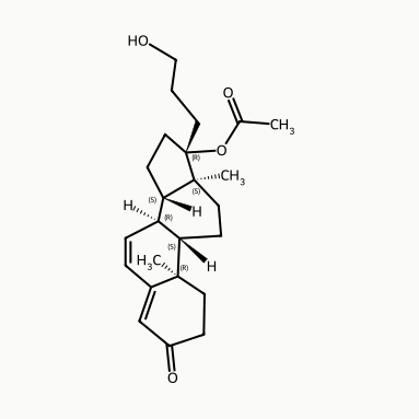 CC(=O)O[C@@]1(CCCO)CC[C@H]2[C@@H]3C=CC4=CC(=O)CC[C@]4(C)[C@H]3CC[C@@]21C